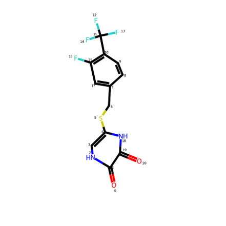 O=c1[nH]cc(SCc2ccc(C(F)(F)F)c(F)c2)[nH]c1=O